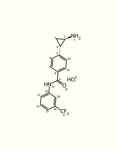 Cl.N[C@@H]1C[C@H]1c1ccc(C(=O)Nc2cccc(C(F)(F)F)c2)cc1